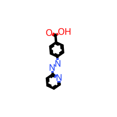 O=C(O)c1ccc(N=Nc2ccccn2)cc1